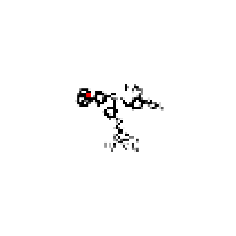 COc1ccc(CC[C@H](Oc2ccc(C34CC5CC(CC(C5)C3)C4)cc2)c2cccc(OCC(=O)OC(C)(C)C)c2)cc1OC